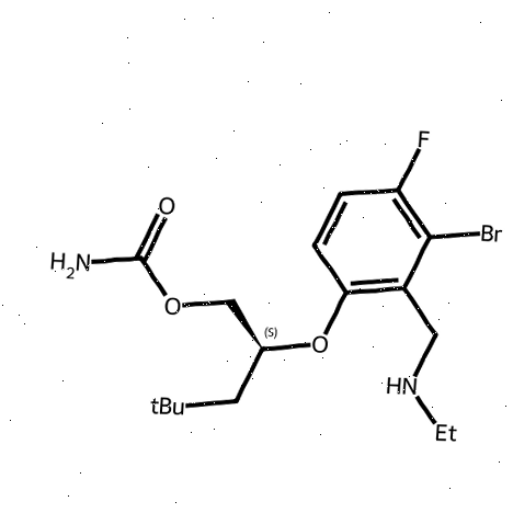 CCNCc1c(O[C@H](COC(N)=O)CC(C)(C)C)ccc(F)c1Br